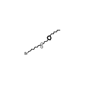 CCCCCCc1ccc(CCCOC(=O)CCCCCCCBr)cc1